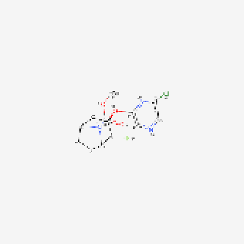 CC(C)(C)OC(=O)N1C2CCC1[C@@H](F)[C@H](Oc1cncc(Cl)n1)C2